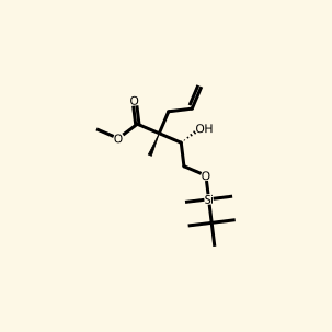 C=CC[C@@](C)(C(=O)OC)[C@H](O)CO[Si](C)(C)C(C)(C)C